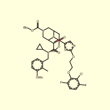 COc1cccc(CN(C(=O)C2=C(c3cnc(OCCOc4c(F)ccc(F)c4Cl)s3)CC3CN(C(=O)OC(C)(C)C)CC2N3C(=O)OC(C)(C)C)C2CC2)c1C